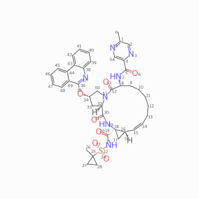 Cc1cnc(C(=O)N[C@H]2CCCCC/C=C\[C@@H]3C[C@@]3(C(=O)NS(=O)(=O)C3(C)CC3)NC(=O)[C@@H]3C[C@@H](Oc4nc5ccccc5c5ccccc45)CN3C2=O)cn1